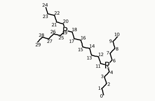 CCCCCP(CCCCC)CCCCCCCCP(CCCCC)CCCCC